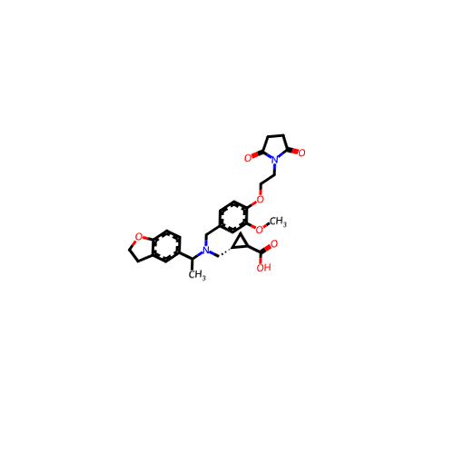 COc1cc(CN(C[C@@H]2CC2C(=O)O)C(C)c2ccc3c(c2)CCO3)ccc1OCCN1C(=O)CCC1=O